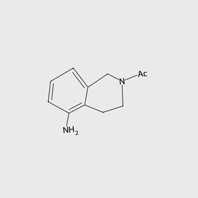 CC(=O)N1CCc2c(N)cccc2C1